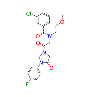 COCCN(CC(=O)N1CC(=O)N(c2ccc(F)cc2)C1)C(=O)c1cccc(Cl)c1